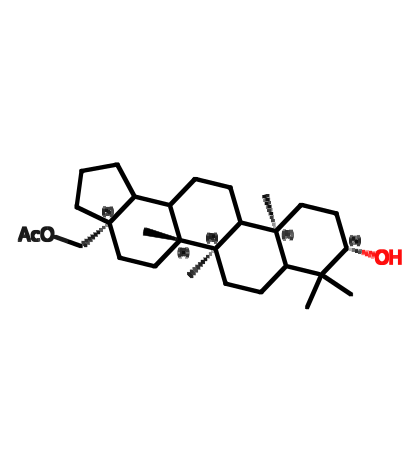 CC(=O)OC[C@]12CCCC1C1CCC3[C@@]4(C)CC[C@H](O)C(C)(C)C4CC[C@@]3(C)[C@]1(C)CC2